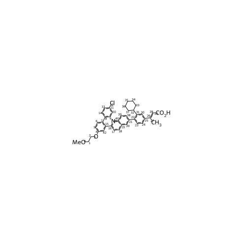 COCCOc1ccc(-c2ccc(Cl)cc2)c(-c2ccc3cc(-c4ccc(C(C)=CC(=O)O)cc4C4CCCCC4)ccc3n2)c1